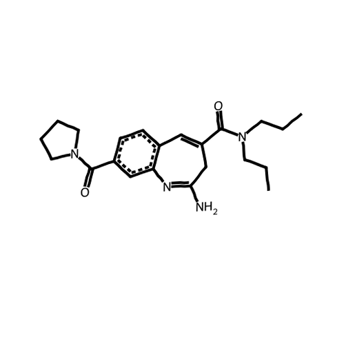 CCCN(CCC)C(=O)C1=Cc2ccc(C(=O)N3CCCC3)cc2N=C(N)C1